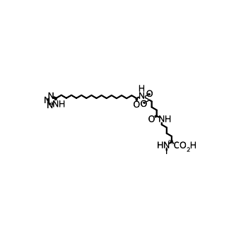 O=C(CCCS(=O)(=O)NC(=O)CCCCCCCCCCCCCCCc1nnn[nH]1)NCCCC[C@H](NI)C(=O)O